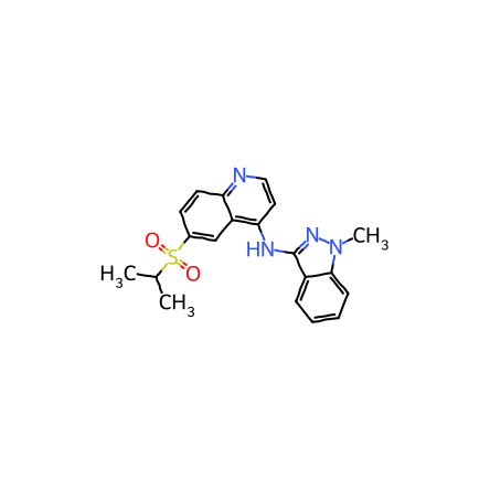 CC(C)S(=O)(=O)c1ccc2nccc(Nc3nn(C)c4ccccc34)c2c1